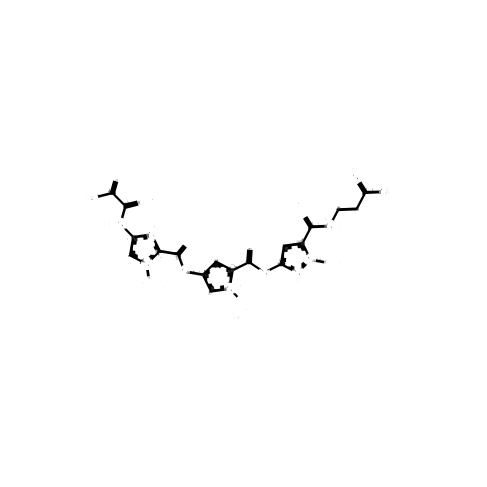 C=C(Br)C(=O)Nc1cn(C)c(C(=O)Nc2cc(C(=O)Nc3cc(C(=O)NCCC(=N)N)n(C)n3)n(C)c2)n1.Cl